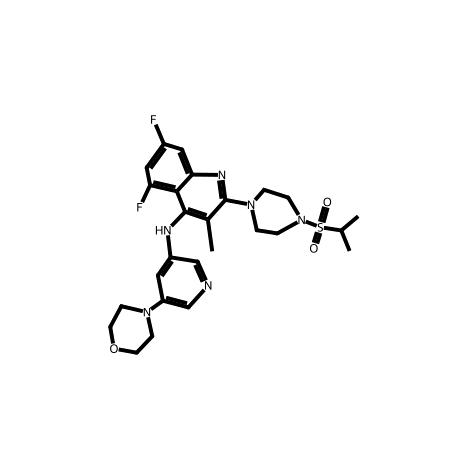 Cc1c(N2CCN(S(=O)(=O)C(C)C)CC2)nc2cc(F)cc(F)c2c1Nc1cncc(N2CCOCC2)c1